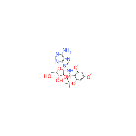 COc1cc(OC)c2c(c1)OC(C)(C)CC2N[C@@]1(n2cnc3c(N)ncnc32)O[C@H](CO)[C@@H](O)[C@H]1O